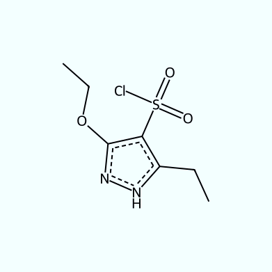 CCOc1n[nH]c(CC)c1S(=O)(=O)Cl